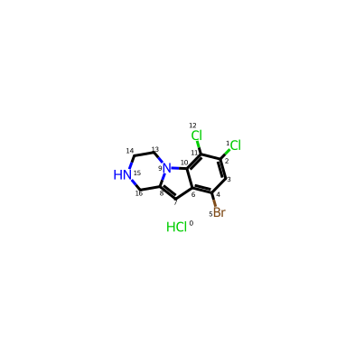 Cl.Clc1cc(Br)c2cc3n(c2c1Cl)CCNC3